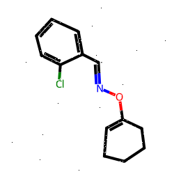 Clc1ccccc1[C]=NOC1=CCCCC1